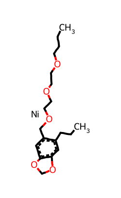 CCCCOCCOCCOCc1cc2c(cc1CCC)OCO2.[Ni]